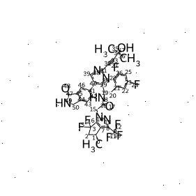 C[C@H]1CC(F)(F)c2c1c(C(F)(F)F)nn2CC(=O)N[C@@H](Cc1cc(F)cc(F)c1)c1nc(C#CC(C)(C)O)ncc1-c1ccc2c(c1)C(=O)NC2